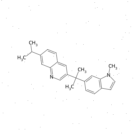 CC(C)c1ccc2cc(C(C)(C)c3ccc4ccn(C)c4c3)cnc2c1